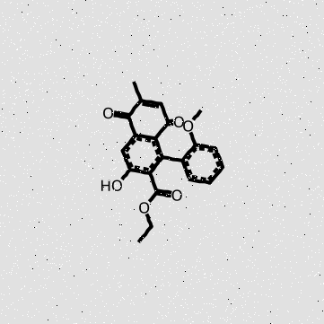 CCOC(=O)c1c(O)cc2c(c1-c1ccccc1OC)C(=O)C=C(C)C2=O